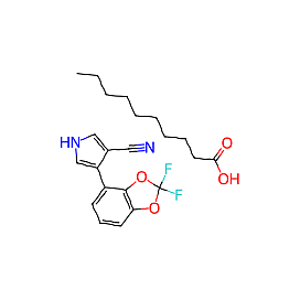 CCCCCCCCCC(=O)O.N#Cc1c[nH]cc1-c1cccc2c1OC(F)(F)O2